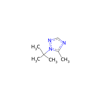 Cc1ncnn1C(C)(C)C